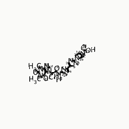 C[C@@H](C(=O)Nc1nc(-c2cnc(N3CC4CC3CN4C(=O)O)nc2)cs1)n1cnc2c1c(=O)n(C)c(=O)n2C